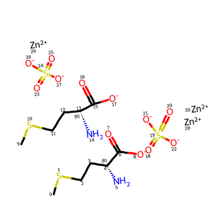 CSCC[C@@H](N)C(=O)[O-].CSCC[C@@H](N)C(=O)[O-].O=S(=O)([O-])[O-].O=S(=O)([O-])[O-].[Zn+2].[Zn+2].[Zn+2]